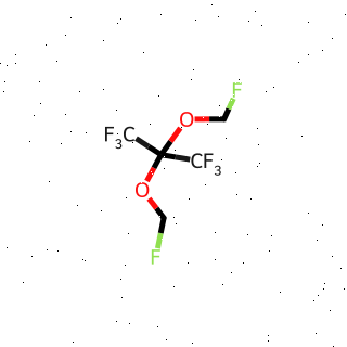 FCOC(OCF)(C(F)(F)F)C(F)(F)F